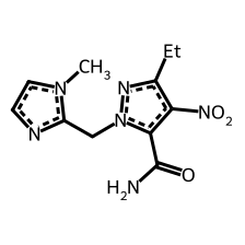 CCc1nn(Cc2nccn2C)c(C(N)=O)c1[N+](=O)[O-]